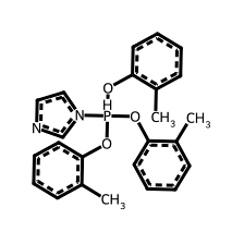 Cc1ccccc1O[PH](Oc1ccccc1C)(Oc1ccccc1C)n1ccnc1